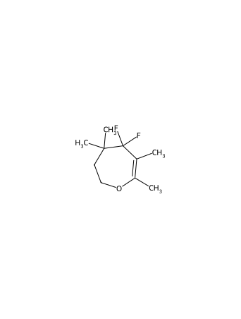 CC1=C(C)C(F)(F)C(C)(C)CCO1